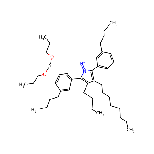 CCCCCCCCC1=C(c2cccc(CCCC)c2)[N+](=[N-])C(c2cccc(CCCC)c2)=C1CCCC.CCC[O][Ni][O]CCC